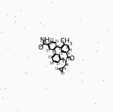 Cc1ccc(C(=O)N(CC2CC2)c2ccccc2)cc1-c1ccc(C(N)=O)cc1